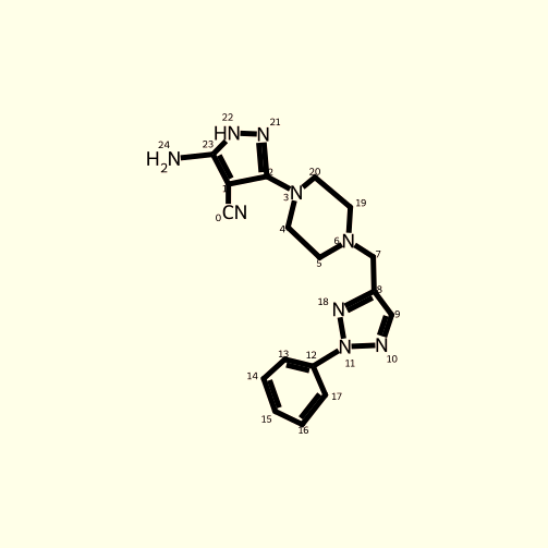 N#Cc1c(N2CCN(Cc3cnn(-c4ccccc4)n3)CC2)n[nH]c1N